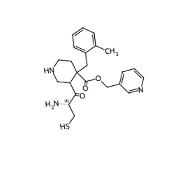 Cc1ccccc1CC1(C(=O)OCc2cccnc2)CCNCC1C(=O)[C@@H](N)CS